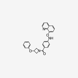 O=C(c1ccc(NOc2cccc3cccnc23)cc1)N1CC(Oc2ccccc2)C1